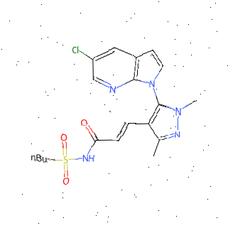 CCCCS(=O)(=O)NC(=O)C=Cc1c(C)nn(C)c1-n1ccc2cc(Cl)cnc21